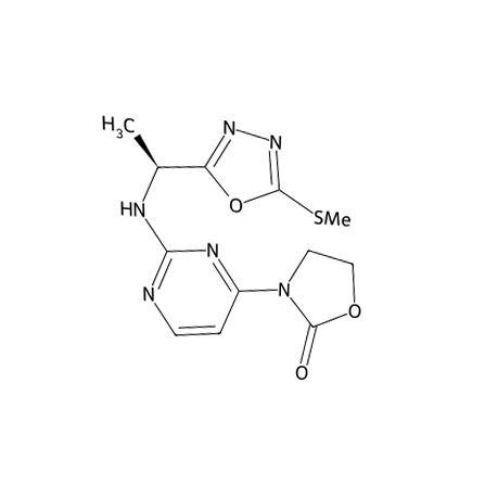 CSc1nnc([C@H](C)Nc2nccc(N3CCOC3=O)n2)o1